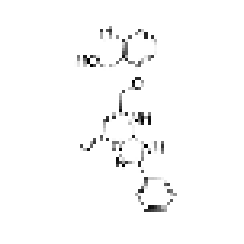 O=C1C=C(COc2cccc(Cl)c2CO)NC2NC(c3ccccc3)=NN12